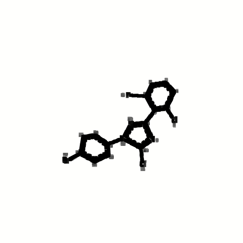 Fc1cccc(Cl)c1-c1nc(Cl)n(-c2ccc(Br)cc2)n1